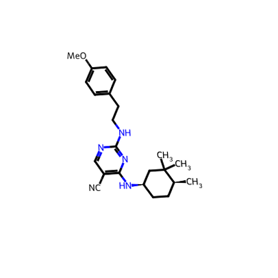 COc1ccc(CCNc2ncc(C#N)c(N[C@@H]3CC[C@H](C)C(C)(C)C3)n2)cc1